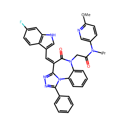 COc1ccc(N(C(=O)CN2C(=O)C(=Cc3c[nH]c4cc(F)ccc34)c3nnc(-c4ccccc4)n3-c3ccccc32)C(C)C)cn1